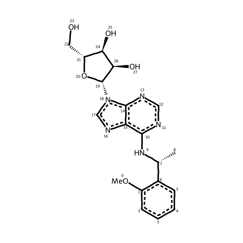 COc1ccccc1[C@@H](C)Nc1ncnc2c1ncn2[C@@H]1O[C@H](CO)[C@@H](O)[C@H]1O